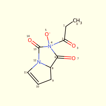 CCC(=O)[N+]1([O-])C(=O)C2CC=CN2C1=O